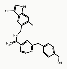 C=C(NCc1cc2c(Cl)c[nH]c2cc1F)c1ccnc(Cc2ccc(CO)cc2)c1